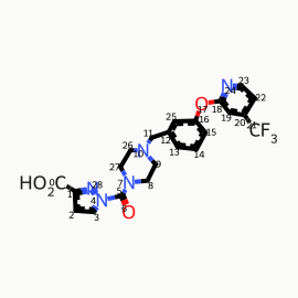 O=C(O)c1ccn(C(=O)N2CCN(Cc3cccc(Oc4cc(C(F)(F)F)ccn4)c3)CC2)n1